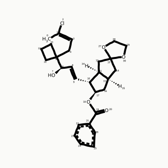 C/C(Cl)=C\CC1([C@H](O)C=C[C@@H]2[C@H]3CC4(C[C@H]3C[C@H]2OC(=O)c2ccccc2)OCCO4)CCC1